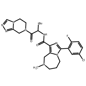 CN1CCCn2c(-c3cc(Cl)ccc3F)nc(C(=O)NC(C(=O)N3CCn4cnnc4C3)C(C)(C)C)c2C1